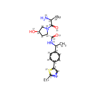 CCc1ncc(-c2ccc(C(C)NC(=O)[C@@H]3C[C@@H](O)CN3C(=O)C(N)C(C)(C)C)cc2)s1